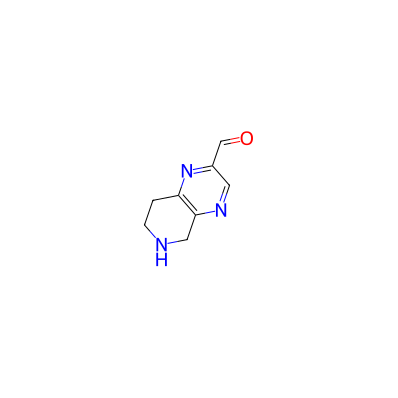 O=Cc1cnc2c(n1)CCNC2